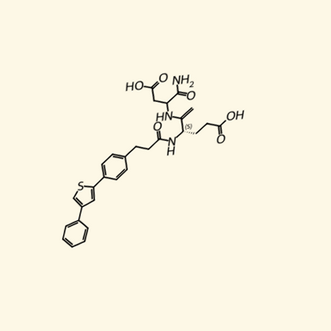 C=C(NC(CC(=O)O)C(N)=O)[C@H](CCC(=O)O)NC(=O)CCc1ccc(-c2cc(-c3ccccc3)cs2)cc1